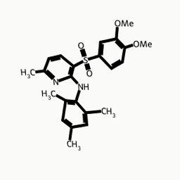 COc1ccc(S(=O)(=O)c2ccc(C)nc2Nc2c(C)cc(C)cc2C)cc1OC